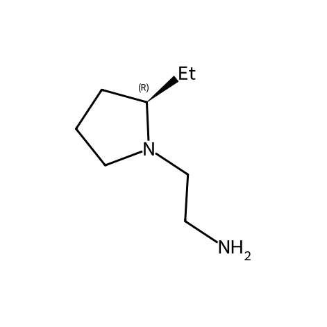 CC[C@@H]1CCCN1CCN